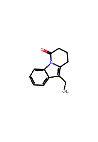 CCc1c2n(c3ccccc13)C(=O)CCC2